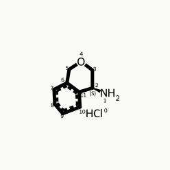 Cl.N[C@@H]1COCc2ccccc21